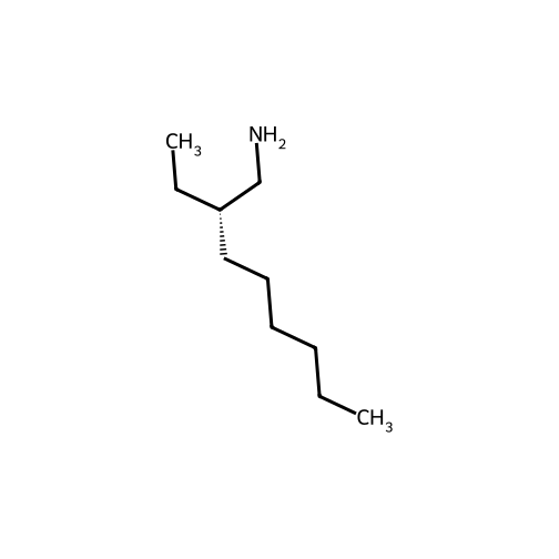 CCCCCC[C@H](CC)CN